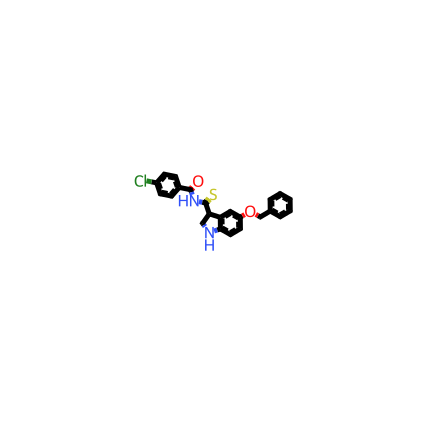 O=C(NC(=S)C1CNc2ccc(OCc3ccccc3)cc21)c1ccc(Cl)cc1